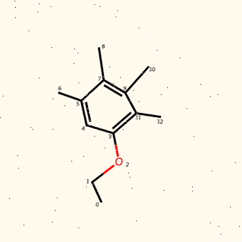 CCOc1cc(C)c(C)c(C)c1C